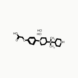 C[N+](C)(C1CCNCC1)C1CCN(c2ccc(OCC(=O)O)cc2)CC1.Cl.Cl